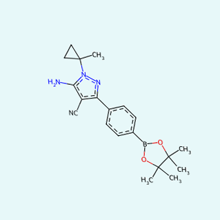 CC1(n2nc(-c3ccc(B4OC(C)(C)C(C)(C)O4)cc3)c(C#N)c2N)CC1